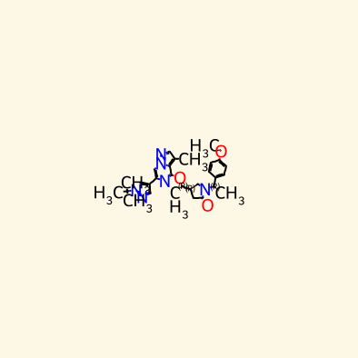 COc1ccc([C@@H](C)N2C[C@H]([C@@H](C)Oc3nc(-c4cnn(C(C)(C)C)c4)cn4ncc(C)c34)CC2=O)cc1